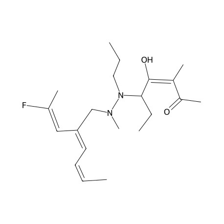 C\C=C/C=C(\C=C(/C)F)CN(C)N(CCC)C(CC)/C(O)=C(/C)C(C)=O